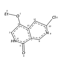 CCOc1c[nH]c(=O)c2cnc(Cl)cc12